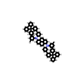 Cc1cccc(N(c2cccc(-c3cccc(C4(c5ccccc5)c5ccccc5-c5ccccc54)c3)c2)c2ccc3ccc4c(N(c5cccc(C)c5)c5cccc(-c6cccc(C7(c8ccccc8)c8ccccc8-c8ccccc87)c6)c5)ccc5ccc2c3c54)c1